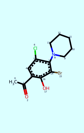 CC(=O)c1cc(Cl)c(N2CCCCC2)c(Br)c1O